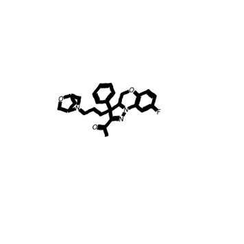 CC(=O)C1=NN2c3cc(F)ccc3OCC2C1(CCCN1CC2CC1CO2)c1ccccc1